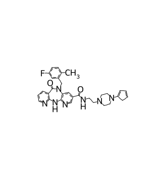 Cc1ccc(F)cc1CN1C(=O)c2cccnc2Nc2ncc(C(=O)NCCN3CCN(C4=CC=CC4)CC3)cc21